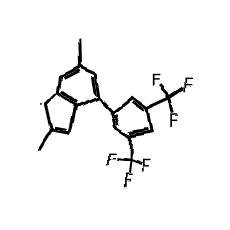 CC1=Cc2c(cc(C)cc2-c2cc(C(F)(F)F)cc(C(F)(F)F)c2)[CH]1